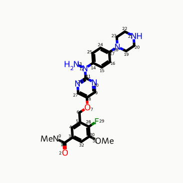 CNC(=O)c1cc(COc2cnc(N(N)c3ccc(N4CCNCC4)cc3)nc2)c(F)c(OC)c1